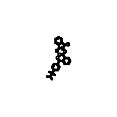 CC(C)C(C)(C)c1ccc(C(=O)c2ccccc2C(=O)ON2C(=O)c3ccccc3C2=O)cc1